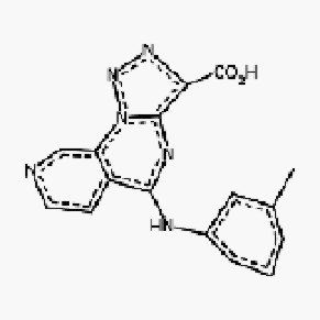 Cc1cccc(Nc2nc3c(C(=O)O)nnn3c3cnccc23)c1